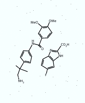 COc1ccc(C(=O)Nc2ccc(C(C)(C)CN)cc2)cc1OC.O=C(O)c1nc2ccc(F)cc2[nH]1